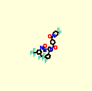 CN(C(=O)N(C)[C@@H]1CN(C(=O)C2CCC(C(=O)N3CCC(F)(F)CC3)CC2)C[C@H]1c1ccc(F)cc1)c1cc(C(F)(F)F)cc(C(F)(F)F)c1